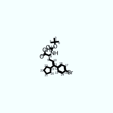 CC(C)(C)OC(=O)N[C@@H](C/C=C(/c1ccc(Br)cc1)C1CCCC1)C(=O)O